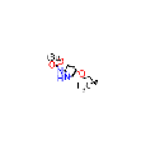 CC(C)(C)OC(=O)Nc1ccc(OCCC2(C(F)(F)F)CC2)cn1